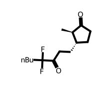 CCCCC(F)(F)C(=O)CC[C@H]1CCC(=O)[C@@H]1C